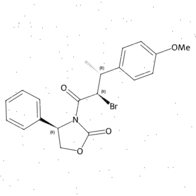 COc1ccc([C@@H](C)[C@@H](Br)C(=O)N2C(=O)OC[C@H]2c2ccccc2)cc1